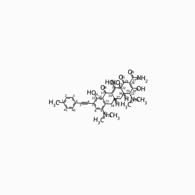 Cc1ccc(C#Cc2cc(N(C)C)c3c(c2O)C(=O)C2=C(O)[C@]4(O)C(=O)C(C(N)=O)=C(O)[C@@H](N(C)C)[C@@H]4C[C@@H]2C3)cc1